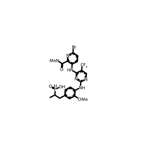 CNC(=O)c1nc(Br)ccc1Nc1nc(Nc2ccc(CC(C)[PH](=O)O)cc2OC)ncc1C(F)(F)F